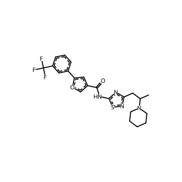 CC(Cc1nsc(NC(=O)c2coc(-c3cccc(C(F)(F)F)c3)c2)n1)N1CCCCC1